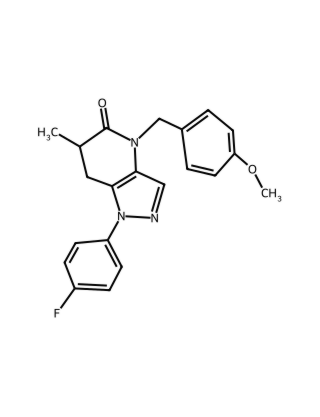 COc1ccc(CN2C(=O)C(C)Cc3c2cnn3-c2ccc(F)cc2)cc1